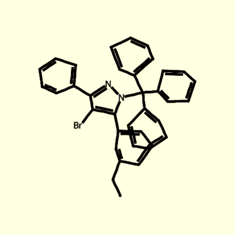 CCc1cccc(-c2c(Br)c(-c3ccccc3)nn2C(c2ccccc2)(c2ccccc2)c2ccccc2)c1